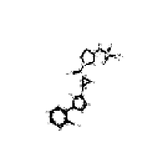 CS(=O)(=O)N[C@@H]1CCN(C(=O)[C@@H]2C[C@H]2c2ccc(-c3ccccc3F)s2)C1